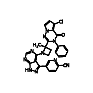 C[C@@]1(c2nn3ccc(Cl)c3c(=O)n2-c2ccccc2)CCN1c1ncnc2[nH]nc(-c3ccc(C#N)nc3)c12